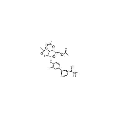 CNC(=O)c1cccc(-c2ccc(O[C@H]3O[C@H](COC(C)=O)[C@@H](OC(C)=O)[C@H](OC(C)=O)[C@@H]3F)c(C)c2)c1